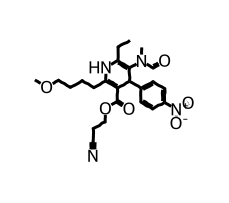 CCC1=C(N(C)C=O)C(c2ccc([N+](=O)[O-])cc2)C(C(=O)OCCC#N)=C(CCCCOC)N1